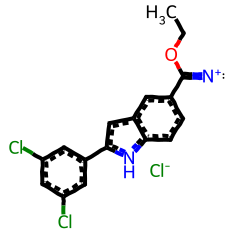 CCOC(=[N+])c1ccc2[nH]c(-c3cc(Cl)cc(Cl)c3)cc2c1.[Cl-]